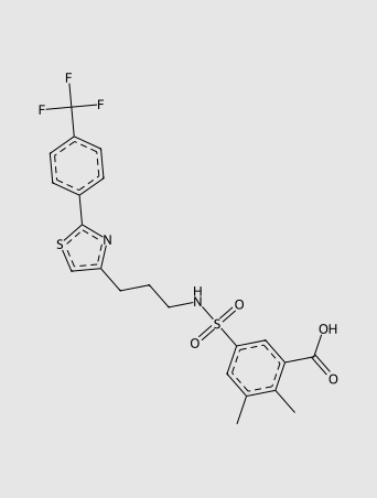 Cc1cc(S(=O)(=O)NCCCc2csc(-c3ccc(C(F)(F)F)cc3)n2)cc(C(=O)O)c1C